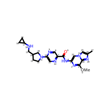 COc1nc(NC(=O)c2cnc(N3CCC(CNC4CC4)C3)cn2)cn2cc(C)nc12